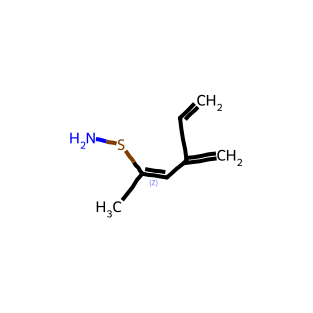 C=CC(=C)/C=C(/C)SN